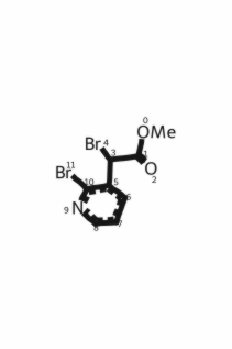 COC(=O)C(Br)c1cccnc1Br